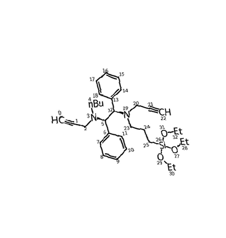 C#CCN(CCCC)[C@H](c1ccccc1)[C@@H](c1ccccc1)N(CC#C)CCC[Si](OCC)(OCC)OCC